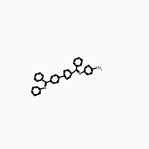 Cc1ccc(/N=C(\c2ccccc2)c2ccc(-c3ccc(/C(=N/c4ccccc4)c4ccccc4)cc3)cc2)cc1